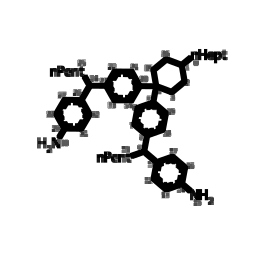 CCCCCCCC1CCC(c2ccc(C(CCCCC)c3ccc(N)cc3)cc2)(c2ccc(C(CCCCC)c3ccc(N)cc3)cc2)CC1